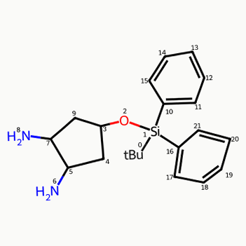 CC(C)(C)[Si](OC1CC(N)C(N)C1)(c1ccccc1)c1ccccc1